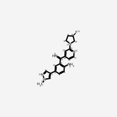 Cn1cc(-c2ccc(N)c(C(=N)c3ccnc(N4CC[C@@H](F)C4)c3)c2)cn1